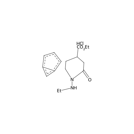 CCNN1CCC(C(=O)OCC)CC1=O.Cl.c1cc2cc-2c1